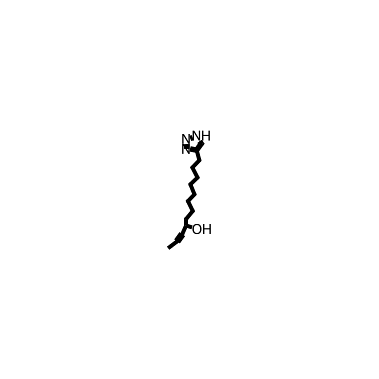 CC#CC(O)CCCCCCCCc1c[nH]nn1